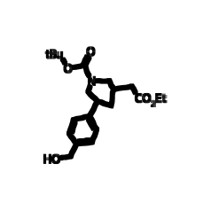 CCOC(=O)CC1CC(c2ccc(CO)cc2)CN(C(=O)OC(C)(C)C)C1